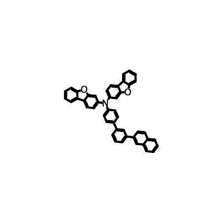 c1cc(-c2ccc(N(c3ccc4c(c3)oc3ccccc34)c3ccc4c(c3)oc3ccccc34)cc2)cc(-c2ccc3ccccc3c2)c1